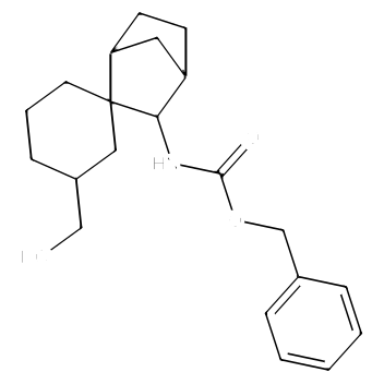 O=C(NC1C2CCC(C2)C12CCCC(CO)C2)OCc1ccccc1